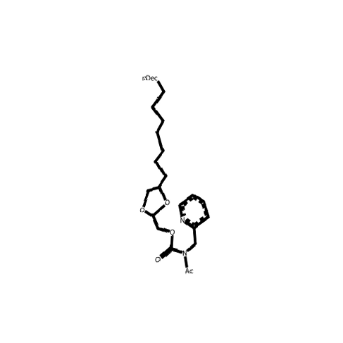 CCCCCCCCCCCCCCCCCC1COC(COC(=O)N(Cc2ccccn2)C(C)=O)O1